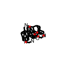 O=C1N2CC3C4C5CN6CC78CN9CC(C57)C3C(C9)(/C2=C2/N3CC5C7C9CN%10CC%11%12CN%13CC(C9%11)C5C2(C%13)C%12C7(C%10)C3=O)C8C14C6